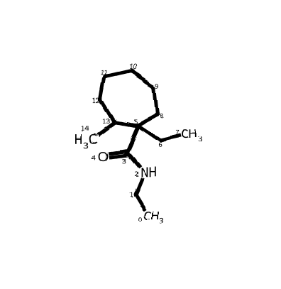 CCNC(=O)C1(CC)CCCCCC1C